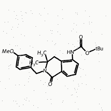 COc1ccc(CN2C(=O)c3cccc(NC(=O)OC(C)(C)C)c3CC2(C)C)cc1